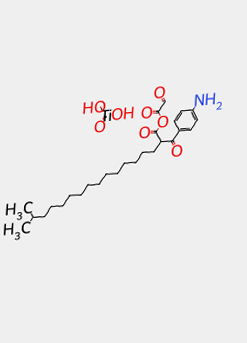 CC(C)CCCCCCCCCCCCCC(C(=O)OC(=O)C=O)C(=O)c1ccc(N)cc1.[O]=[Ti]([OH])[OH]